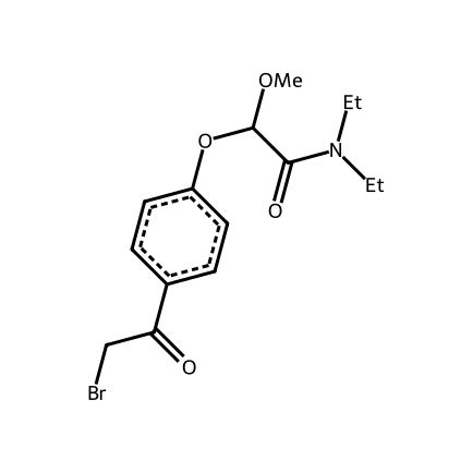 CCN(CC)C(=O)C(OC)Oc1ccc(C(=O)CBr)cc1